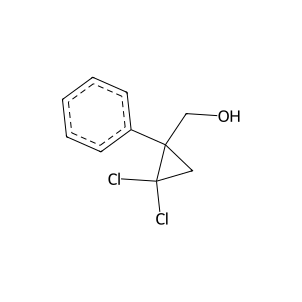 OCC1(c2ccccc2)CC1(Cl)Cl